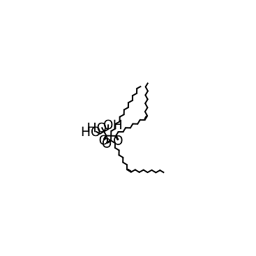 CCCCCCCC/C=C\CCCCCCCC(=O)C(CCCCCCCCCCCCCC)(C(=O)CCCCCCC/C=C\CCCCCCCC)C(=O)C(O)(CO)CO